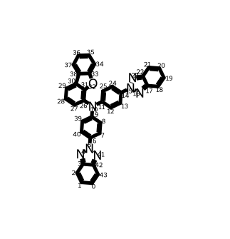 c1ccc2nn(-c3ccc(N(c4ccc(-n5nc6ccccc6n5)cc4)c4cccc5c4oc4ccccc45)cc3)nc2c1